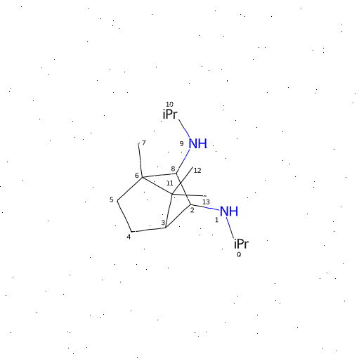 CC(C)NC1C2CCC(C)(C1NC(C)C)C2(C)C